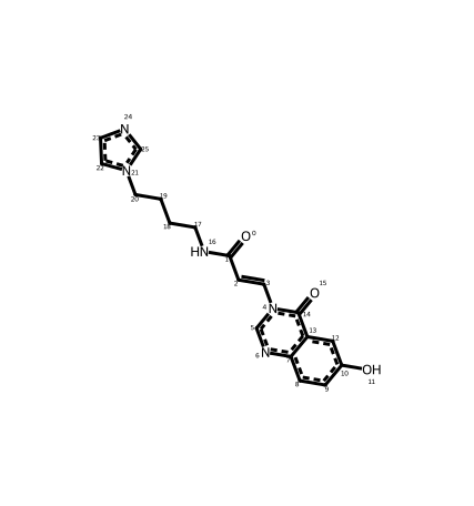 O=C(C=Cn1cnc2ccc(O)cc2c1=O)NCCCCn1ccnc1